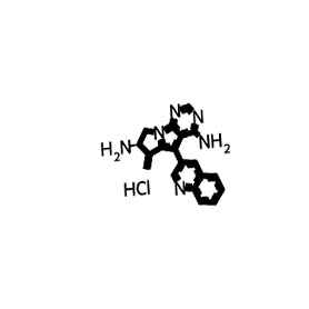 C=C1c2c(-c3cnc4ccccc4c3)c3c(N)ncnc3n2C[C@H]1N.Cl